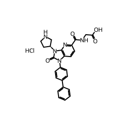 Cl.O=C(O)CNC(=O)c1ccc2c(n1)n([C@H]1CCNC1)c(=O)n2-c1ccc(-c2ccccc2)cc1